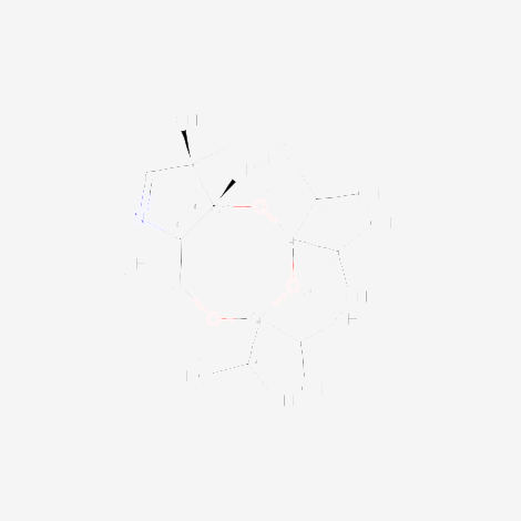 CC(C)[Si]1(C(C)C)OC[C@H]2N=C[C@](C)(F)[C@@H]2O[Si](C(C)C)(C(C)C)O1